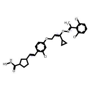 C/C(=N\O/C(=C/COc1ccc(/C=C/C2CCC(C(=O)NS)C2)c(Cl)c1)C1CC1)c1c(Cl)cccc1Cl